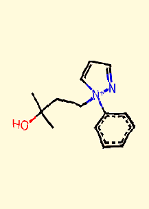 CC(C)(O)CC[N+]1(c2ccccc2)C=CC=N1